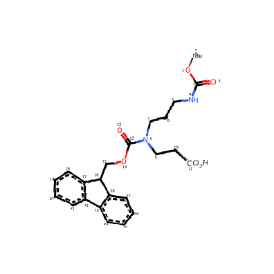 CC(C)(C)OC(=O)NCCCN(CCC(=O)O)C(=O)OCC1c2ccccc2-c2ccccc21